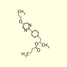 CCCOc1cnc(-c2ccc(CC(C)OC(=O)CCC)cc2)nc1